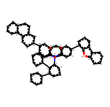 c1ccc(-c2ccccc2-c2c(-c3ccccc3)cccc2N(c2ccc(-c3ccc4c(ccc5ccccc54)c3)cc2)c2ccc(-c3cccc4c3oc3ccccc34)cc2)cc1